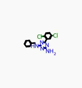 Nc1nc(NCc2ccccc2)nc(-c2cc(Cl)ccc2Cl)n1